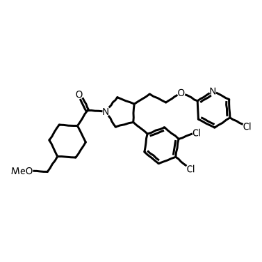 COCC1CCC(C(=O)N2CC(CCOc3ccc(Cl)cn3)C(c3ccc(Cl)c(Cl)c3)C2)CC1